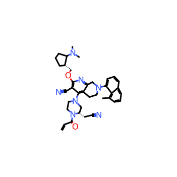 C=CC(=O)N1CCN(c2c(C#N)c(OC[C@@H]3CCCC3N(C)C)nc3c2CCN(c2cccc4cccc(C)c24)C3)C[C@@H]1CC#N